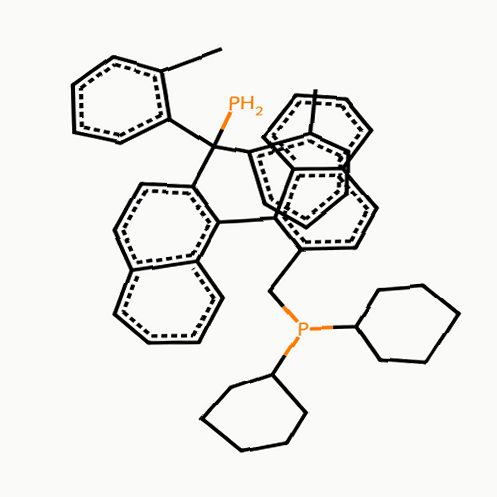 Cc1ccccc1C(P)(c1ccccc1C)c1ccc2ccccc2c1-c1c(CP(C2CCCCC2)C2CCCCC2)ccc2ccccc12